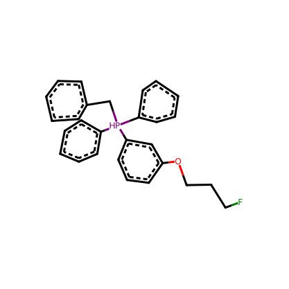 FCCCOc1cccc([PH](Cc2ccccc2)(c2ccccc2)c2ccccc2)c1